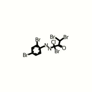 O=C(C(Br)Br)C(Cl)(Br)/N=N/c1ccc(Br)cc1Br